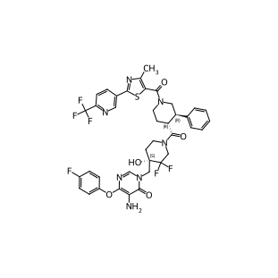 Cc1nc(-c2ccc(C(F)(F)F)nc2)sc1C(=O)N1CC[C@@H](C(=O)N2CC[C@](O)(Cn3cnc(Oc4ccc(F)cc4)c(N)c3=O)C(F)(F)C2)[C@H](c2ccccc2)C1